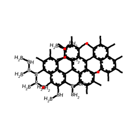 BBB(B)B(B(B)B)c1c(C)c(C)c(B(B)B(B)B)c2c(-c3c4c(C)c(C)c(C)c(C)c4c(-c4c(C)c(C)c(C)c5c(C)c(C)c(C)c(C)c45)c4c(C)c(C)c(C)c(C)c34)c(B(B)B)c(BB)c(B)c12